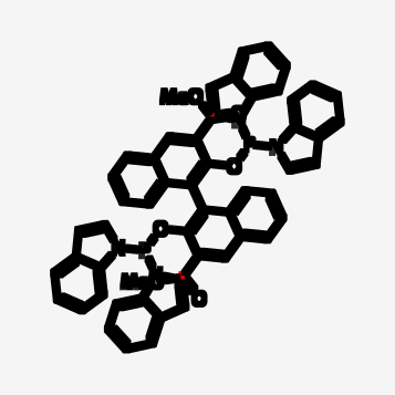 COC(=O)c1cc2ccccc2c(-c2c(OP(n3ccc4ccccc43)n3ccc4ccccc43)c(C(=O)OC)cc3ccccc23)c1OP(n1ccc2ccccc21)n1ccc2ccccc21